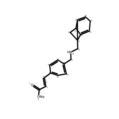 COC(=O)/C=C/c1ccc(CNCC23CC4C2=CCC=C43)cc1